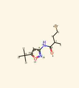 CC(CCBr)C(=O)Nc1cc(C(C)(C)C)on1